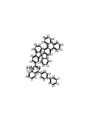 C1=CC2=C(c3ccc(-c4ccccc4)cc3)N=C(c3ccc4c(c3)C3(c5ccccc5-4)c4cc5c6ccccc6c6ccccc6c5cc4C4C=CC=CC43)NC2C=C1